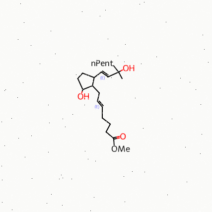 CCCCCC(C)(O)/C=C/C1CCC(O)C1C/C=C/CCCC(=O)OC